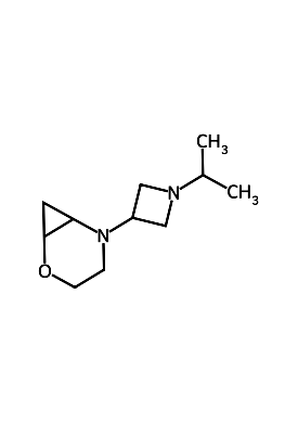 CC(C)N1CC(N2CCOC3CC32)C1